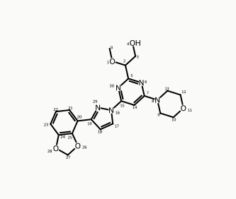 COC(CO)c1nc(N2CCOCC2)cc(-n2ccc(-c3cccc4c3OCO4)n2)n1